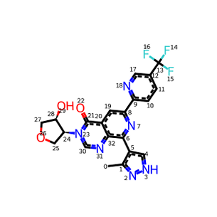 Cc1n[nH]cc1-c1nc(-c2ccc(C(F)(F)F)cn2)cc2c(=O)n([C@H]3COC[C@H]3O)cnc12